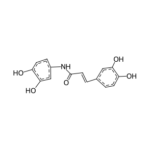 O=C(/C=C/c1ccc(O)c(O)c1)Nc1ccc(O)c(O)c1